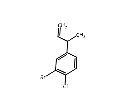 C=C[C](C)c1ccc(Cl)c(Br)c1